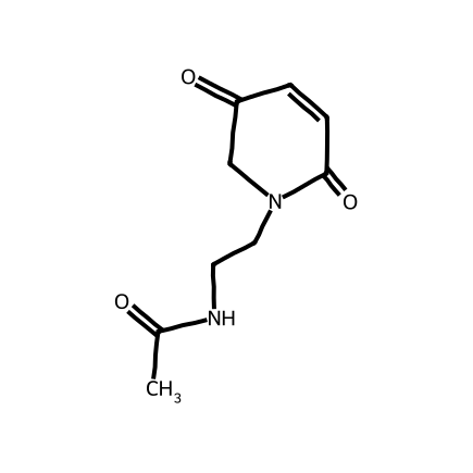 CC(=O)NCCN1CC(=O)C=CC1=O